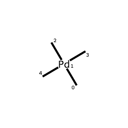 [CH3][Pd]([CH3])([CH3])[CH3]